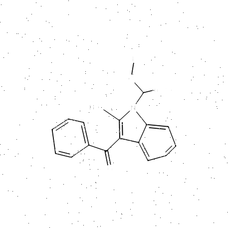 CCCCCCCC(OCC)n1c(C)c(C(=O)c2ccccc2)c2ccccc21